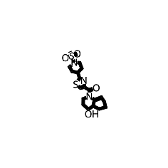 CS(=O)(=O)N1CCC(c2nc(C(=O)N3CCC(O)C4CCCC=C43)cs2)CC1